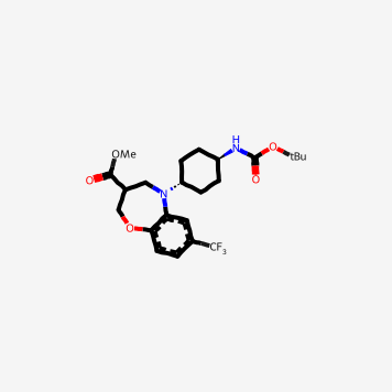 COC(=O)C1COc2ccc(C(F)(F)F)cc2N([C@H]2CC[C@H](NC(=O)OC(C)(C)C)CC2)C1